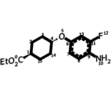 CCOC(=O)[C@H]1CC[C@H](Oc2ccc(N)c(F)c2)CC1